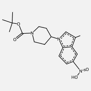 Cc1cn(C2CCN(C(=O)OC(C)(C)C)CC2)c2ccc([N+](=O)O)cc12